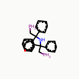 PCC(NC(CP)(c1ccccc1)c1ccccc1)(c1ccccc1)c1ccccc1